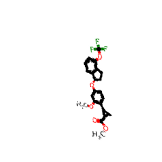 COC(=O)C1CC1c1ccc(O[C@@H]2CCc3c(OC(F)(F)F)cccc32)cc1OC